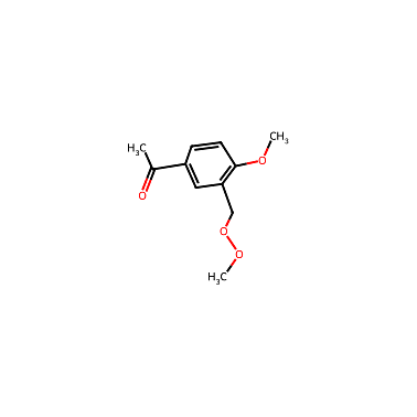 COOCc1cc(C(C)=O)ccc1OC